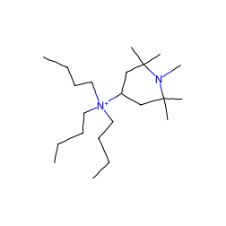 CCCC[N+](CCCC)(CCCC)C1CC(C)(C)N(C)C(C)(C)C1